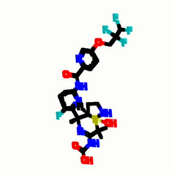 CC1(C)C(NC(=O)O)=N[C@](C)(c2nc(NC(=O)c3ccc(OCC(F)(F)C(F)F)cn3)ccc2F)[C@H]2CCN[S@]21O